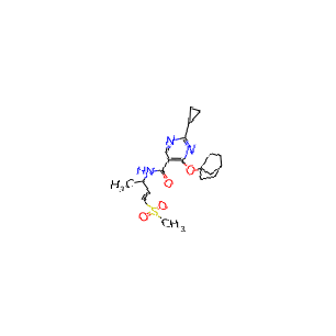 CC(/C=C/S(C)(=O)=O)NC(=O)c1cnc(C2CC2)nc1OC12CCC(CC1)C2